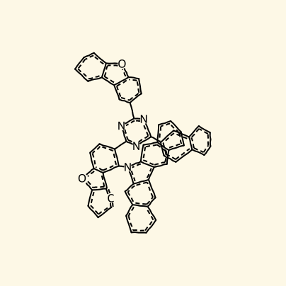 c1ccc2cc(-c3nc(-c4ccc5oc6ccccc6c5c4)nc(-c4ccc5oc6ccccc6c5c4-n4c5cc6ccccc6cc5c5cc6ccccc6cc54)n3)ccc2c1